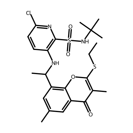 CCSc1oc2c(C(C)Nc3ccc(Cl)nc3S(=O)(=O)NC(C)(C)C)cc(C)cc2c(=O)c1C